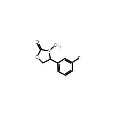 CN1C(=O)OCC1c1cccc(F)c1